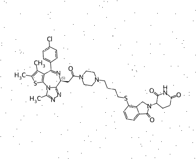 Cc1sc2c(c1C)C(c1ccc(Cl)cc1)=N[C@@H](CC(=O)N1CCN(CCCCSc3cccc4c3CN(C3CCC(=O)NC3=O)C4=O)CC1)c1nnc(C)n1-2